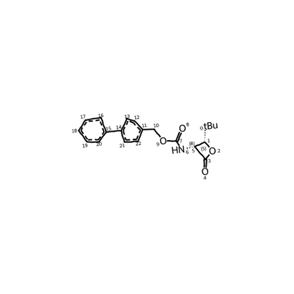 CC(C)(C)[C@@H]1OC(=O)[C@@H]1NC(=O)OCc1ccc(-c2ccccc2)cc1